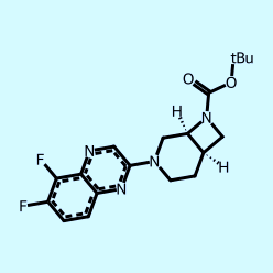 CC(C)(C)OC(=O)N1C[C@H]2CCN(c3cnc4c(F)c(F)ccc4n3)C[C@H]21